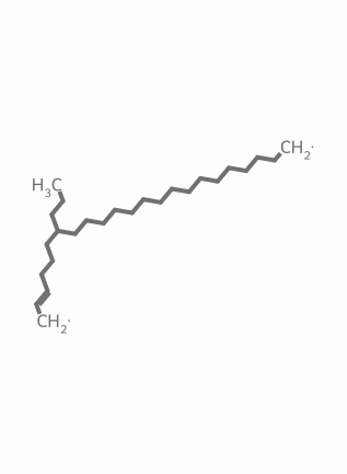 [CH2]/C=C/CCCC(CCC)CCCCCCCCCCCCCCC[CH2]